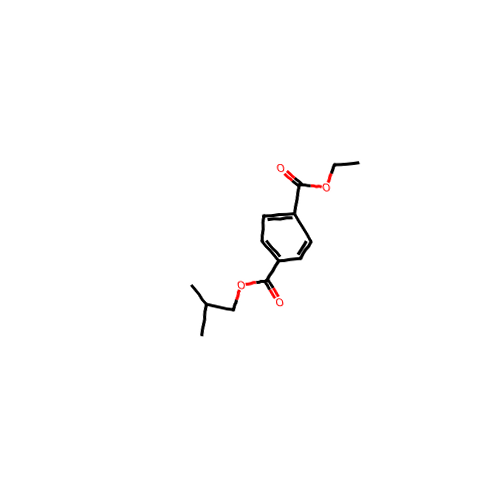 CCOC(=O)c1ccc(C(=O)OCC(C)C)cc1